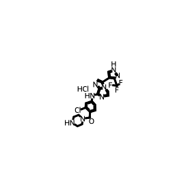 Cl.O=C(c1ccc(Nc2nccn3c(-c4c[nH]nc4C(F)(F)F)cnc23)cc1Cl)N1CCNCC1